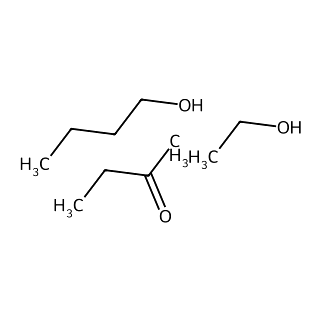 CCC(C)=O.CCCCO.CCO